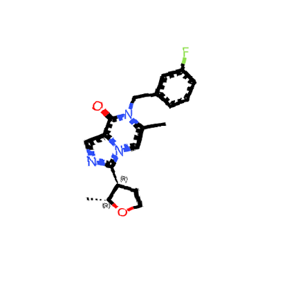 Cc1cn2c([C@H]3CCO[C@@H]3C)ncc2c(=O)n1Cc1cccc(F)c1